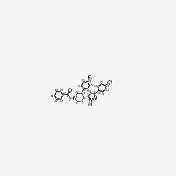 O=C(CN1CC[C@@H](c2cc(-c3ccc(Cl)cc3)n[nH]2)[C@H](c2ccc(F)cc2)C1)c1ccccc1